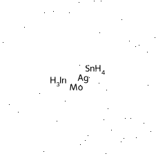 [Ag].[InH3].[Mo].[SnH4]